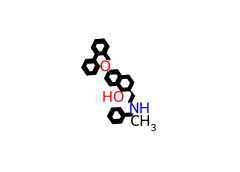 C[C@H](NCC[C@@H]1CCc2cc(OCc3ccccc3-c3ccccc3)ccc2[C@H]1O)c1ccccc1